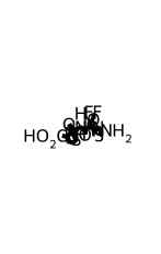 Nc1nc(C(=NOC(F)F)C(=O)NC2C(=O)N3C(C(=O)O)=CCS[C@@H]23)cs1